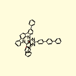 c1ccc(-c2ccc(-c3ccc(-c4nc(-c5ccccc5)nc(-n5c6ccc(-c7ccccc7)cc6c6ccc7c8ccccc8n(-c8cccc(-c9ccccc9)c8)c7c65)n4)cc3)cc2)cc1